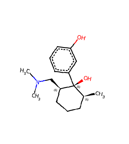 C[C@H]1CCC[C@@H](CN(C)C)[C@]1(O)c1cccc(O)c1